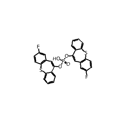 O=P(O)(OC1=Cc2cc(F)ccc2Sc2ccccc21)OC1=Cc2cc(F)ccc2Sc2ccccc21